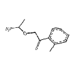 BC(C)OCC(=O)c1ccccc1C